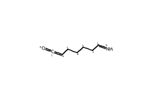 N=[C]CCCC[C]=C=O